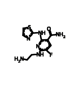 NCCNc1nc(Nc2nccs2)c(C(N)=O)cc1F